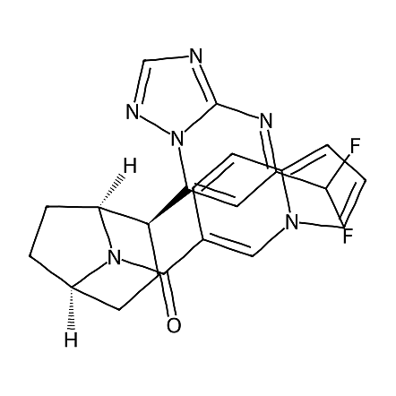 O=C(c1ccc2cccn2c1)N1[C@H]2CC[C@H](c3cc(C(F)F)nc4ncnn34)[C@@H]1CC2